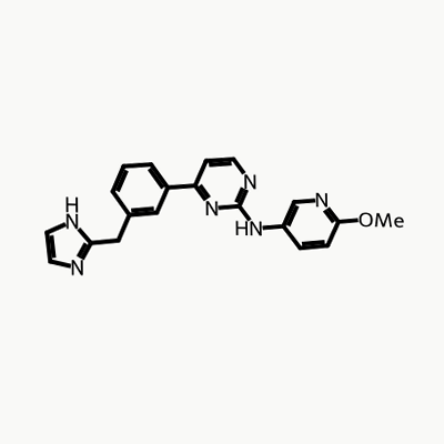 COc1ccc(Nc2nccc(-c3cccc(Cc4ncc[nH]4)c3)n2)cn1